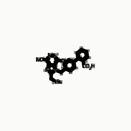 CC(C)(C)Cc1nc2c(C#N)nnc(O)c2n1Cc1ccc(-c2ccccc2C(=O)O)cc1